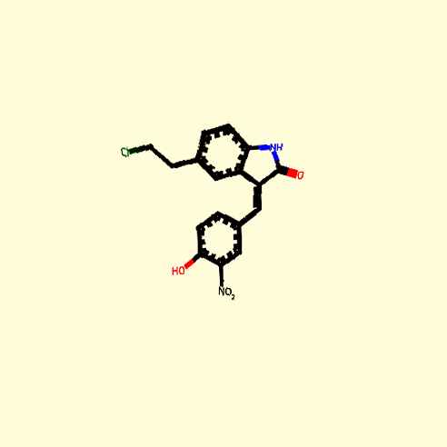 O=C1Nc2ccc(CCCl)cc2C1=Cc1ccc(O)c([N+](=O)[O-])c1